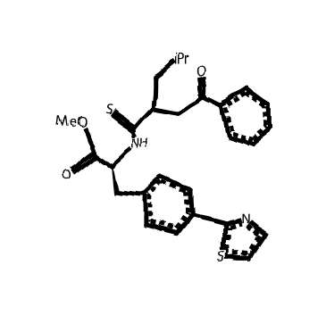 COC(=O)[C@H](Cc1ccc(-c2nccs2)cc1)NC(=S)C(CC(=O)c1ccccc1)CC(C)C